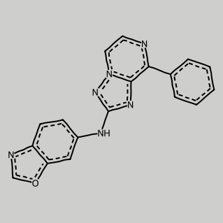 c1ccc(-c2nccn3nc(Nc4ccc5ncoc5c4)nc23)cc1